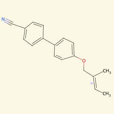 C/C=C(\C)COc1ccc(-c2ccc(C#N)cc2)cc1